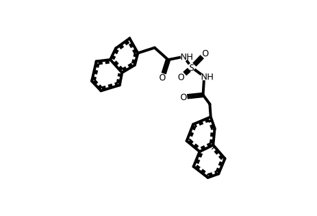 O=C(Cc1ccc2ccccc2c1)NS(=O)(=O)NC(=O)Cc1ccc2ccccc2c1